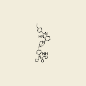 CCc1ccc(-c2nc3cccc(N4CCN(Cc5ccc6c(c5)[nH]c(=O)c(=O)n6C5CCC5)CC4)c3[nH]2)cc1